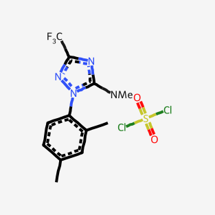 CNc1nc(C(F)(F)F)nn1-c1ccc(C)cc1C.O=S(=O)(Cl)Cl